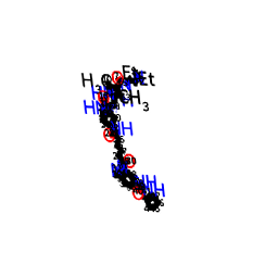 CCN(CC)CCNC(=O)c1c(C)[nH]c(/C=C2\C(=O)Nc3ccc(NC(=O)CCCCC(=O)n4ncc5ccc(NC(=O)Nc6ccccc6)cc54)cc32)c1C